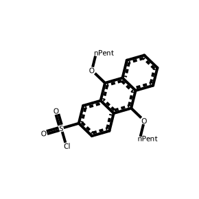 CCCCCOc1c2ccccc2c(OCCCCC)c2cc(S(=O)(=O)Cl)ccc12